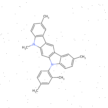 Cc1ccc(-n2c3ccc(C)cc3c3cc4c5cc(C)ccc5n(C)c4cc32)c(C)c1